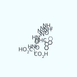 Nc1nc2ncc(CNc3ccc(C(=O)NC(CCC(=O)O)C(=O)O)cc3)nc2c(=O)[nH]1.O=Cc1cc2ccccc2c2ccc3c(c12)CCCC3